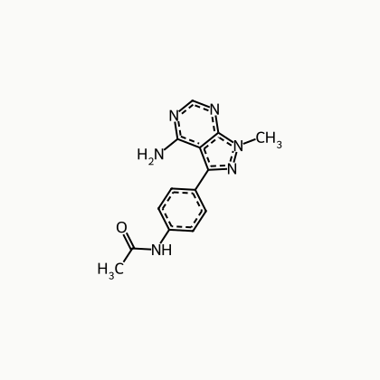 CC(=O)Nc1ccc(-c2nn(C)c3ncnc(N)c23)cc1